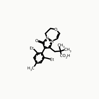 CCc1cc(C)cc(CC)c1-c1c(CC(C)(C)C(=O)O)n2n(c1=O)CCOC=C2